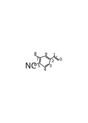 C=[C]c1ccc(C#N)c(C)c1